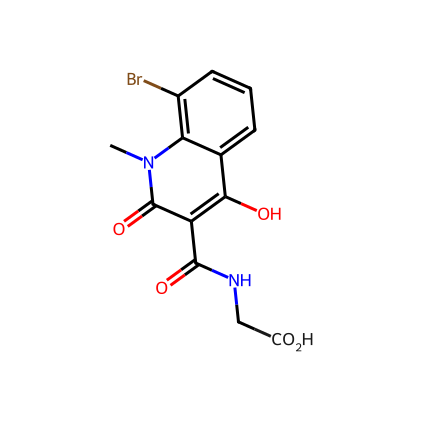 Cn1c(=O)c(C(=O)NCC(=O)O)c(O)c2cccc(Br)c21